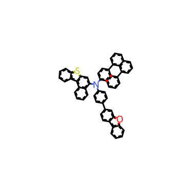 c1ccc(-c2cccc3cccc(-c4ccc(N(c5ccc(-c6ccc7c(c6)oc6ccccc67)cc5)c5cc6sc7ccccc7c6c6ccccc56)cc4)c23)cc1